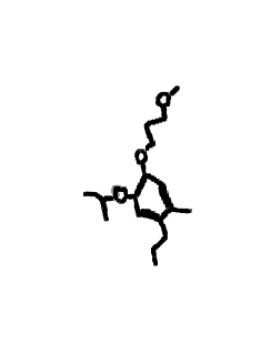 CCCc1cc(OC(C)C)c(OCCCOC)cc1C